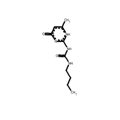 CCCCNC(=O)Nc1nc(=O)cc(C)[nH]1